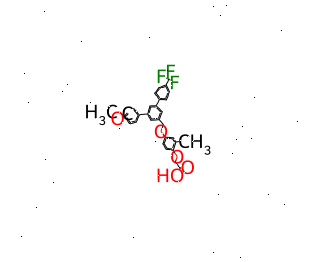 COc1ccc(-c2cc(COc3ccc(OCC(=O)O)c(C)c3)cc(-c3ccc(C(F)(F)F)cc3)c2)cc1